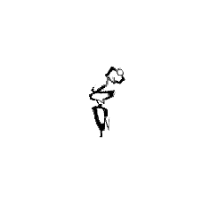 Cc1ccc(N2CCC(C)(N3CCOCC3)CC2)cn1